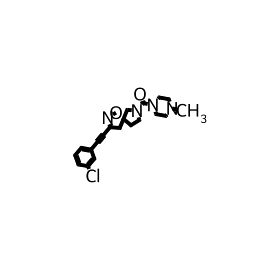 CN1CCN(C(=O)N2CCC3(CC(C#Cc4cccc(Cl)c4)=NO3)C2)CC1